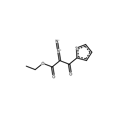 CCOC(=O)C(=[N+]=[N-])C(=O)c1cccs1